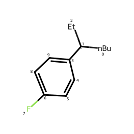 CCCC[C](CC)c1ccc(F)cc1